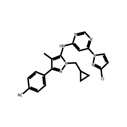 Cc1c(-c2ccc(C#N)cc2)nn(CC2CC2)c1Nc1cc(-n2ccc(Cl)n2)ncn1